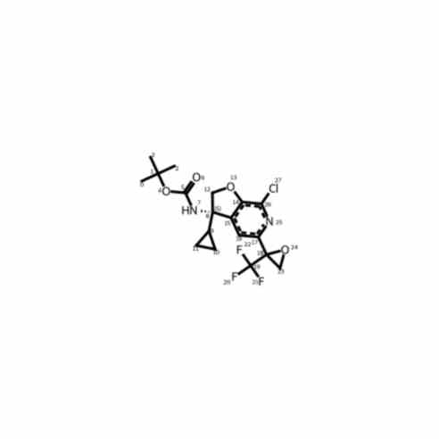 CC(C)(C)OC(=O)N[C@]1(C2CC2)COc2c1cc(C1(C(F)(F)F)CO1)nc2Cl